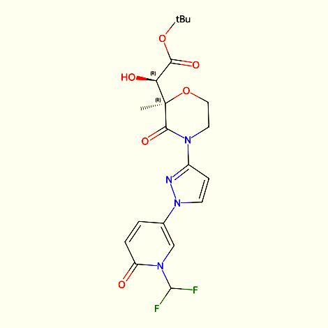 CC(C)(C)OC(=O)[C@H](O)[C@@]1(C)OCCN(c2ccn(-c3ccc(=O)n(C(F)F)c3)n2)C1=O